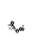 N[C@H](COc1cncc(-c2ccc3[nH]ccc3c2)c1)Cc1c[nH]c2ccccc12